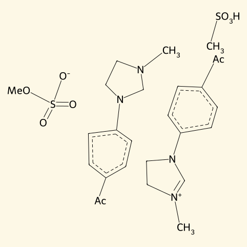 CC(=O)c1ccc(N2C=[N+](C)CC2)cc1.CC(=O)c1ccc(N2CCN(C)C2)cc1.COS(=O)(=O)[O-].CS(=O)(=O)O